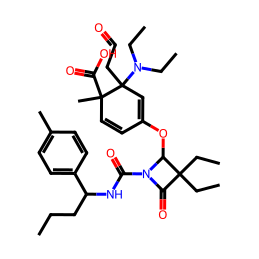 CCCC(NC(=O)N1C(=O)C(CC)(CC)C1OC1=CC(CC=O)(N(CC)CC)C(C)(C(=O)O)C=C1)c1ccc(C)cc1